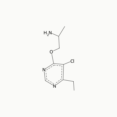 CCc1ncnc(OCC(C)N)c1Cl